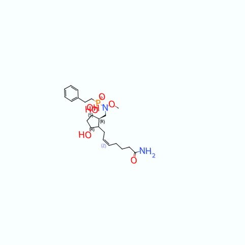 CON(C[C@H]1C(C/C=C\CCCC(N)=O)[C@H](O)C[C@@H]1O)P(=O)(O)CCc1ccccc1